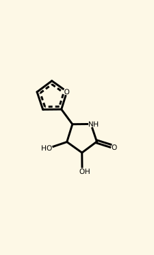 O=C1NC(c2ccco2)C(O)C1O